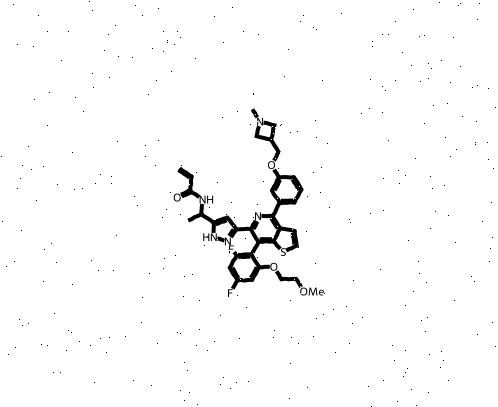 C=CC(=O)NC(C)c1cc(-c2nc(-c3cccc(OCC4CN(C)C4)c3)c3ccsc3c2-c2c(F)cc(F)cc2OCCOC)n[nH]1